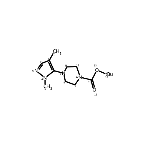 Cc1cnn(C)c1N1CCN(C(=O)OC(C)(C)C)CC1